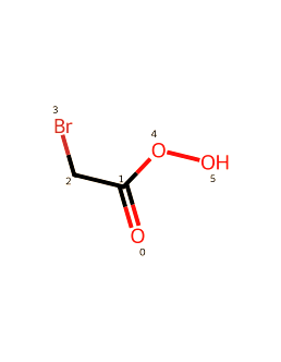 O=C(CBr)OO